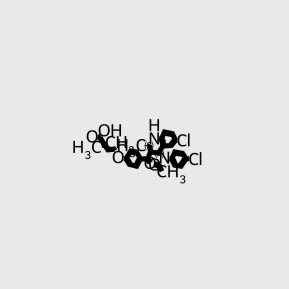 CC(=O)N(c1ccc(Cl)cc1)[C@H]1c2cc(Cl)ccc2N[C@@H](C)C1C(=O)c1ccc(OCCC(C)(C)C(=O)O)cc1